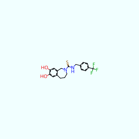 Oc1cc2c(cc1O)CN(C(=S)NCc1ccc(C(F)(F)F)cc1)CCC2